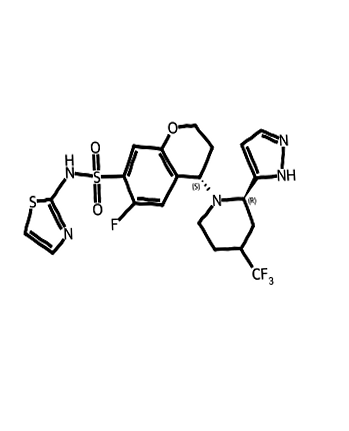 O=S(=O)(Nc1nccs1)c1cc2c(cc1F)[C@@H](N1CCC(C(F)(F)F)C[C@@H]1c1ccn[nH]1)CCO2